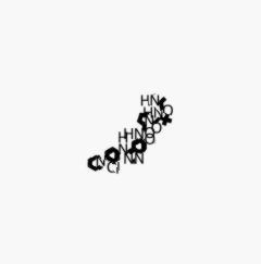 CNC(C)C(=O)NC(C(=O)N1CCCC1C(=O)Nc1cc2c(Nc3ccc(N4CCCCC4)c(Cl)c3)ncnc2cc1OC)C(C)(C)C